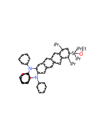 CCO[Si](c1cc(C(C)C)c2cc3cc4cc(N(c5ccccc5)c5ccccc5)c(N(c5ccccc5)c5ccccc5)cc4cc3cc2c1C(C)C)(C(C)C)C(C)C